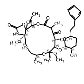 CC[C@H]1OC(=O)C(C)C(=O)[C@H](C)[C@@H](O[C@@H]2O[C@H](CCc3ccccc3)CC[C@H]2O)[C@](C)(OC)C[C@@H](C)CN[C@H](C)[C@H]2NC(=O)O[C@@]21C